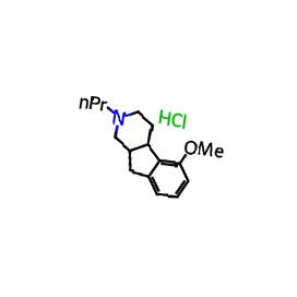 CCCN1CCC2c3c(cccc3OC)CC2C1.Cl